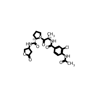 CC(=O)Nc1ccc(C(=O)N[C@@H](C)C(=O)N2CCC[C@H]2C(=O)NC2COC(=O)C2)cc1Cl